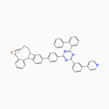 C1=C2\SC2c2ccccc2C2c3ccc(-c4ccc(-c5nc(-c6cccc(-c7ccncc7)c6)nc(-c6ccccc6-c6ccccc6)n5)cc4)cc3C2CC/1